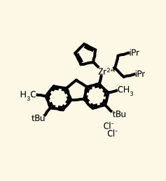 Cc1cc2c(cc1C(C)(C)C)-c1cc(C(C)(C)C)c(C)[c]([Zr+2](=[C](CC(C)C)CC(C)C)[CH]3C=CC=C3)c1C2.[Cl-].[Cl-]